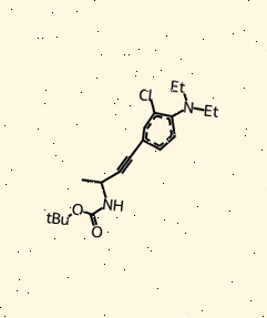 CCN(CC)c1ccc(C#CC(C)NC(=O)OC(C)(C)C)cc1Cl